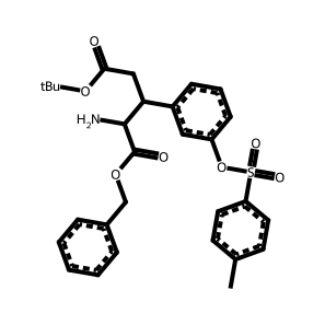 Cc1ccc(S(=O)(=O)Oc2cccc(C(CC(=O)OC(C)(C)C)C(N)C(=O)OCc3ccccc3)c2)cc1